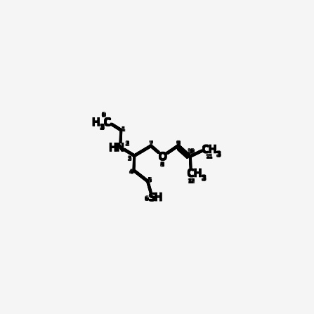 CCNC(CCS)COC=C(C)C